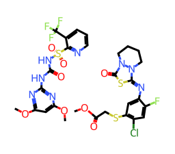 COC(=O)CSc1cc(/N=c2\sc(=O)n3n2CCCC3)c(F)cc1Cl.COc1cc(OC)nc(NC(=O)NS(=O)(=O)c2ncccc2C(F)(F)F)n1